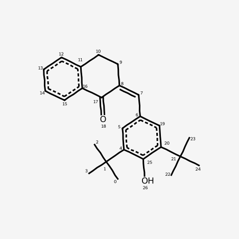 CC(C)(C)c1cc(C=C2CCc3ccccc3C2=O)cc(C(C)(C)C)c1O